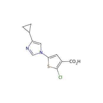 O=C(O)c1cc(-n2cnc(C3CC3)c2)sc1Cl